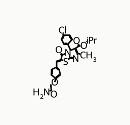 CC1=C(C(=O)OC(C)C)C(c2ccc(Cl)cc2)n2c(s/c(=C\c3ccc(OCC(N)=O)cc3)c2=O)=N1